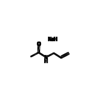 C=CCNC(C)=O.[NaH]